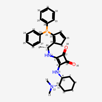 C[C@@H](Nc1c(N[C@H]2CCCC[C@@H]2N(C)C)c(=O)c1=O)C1=C(P(c2ccccc2)c2ccccc2)C=CC1